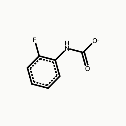 [O]C(=O)Nc1ccccc1F